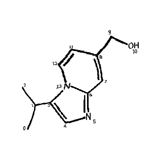 CC(C)c1cnc2cc(CO)ccn12